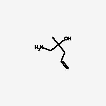 C=CCC(C)(O)CN